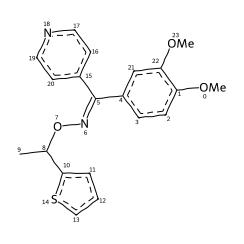 COc1ccc(C(=NOC(C)c2cccs2)c2ccncc2)cc1OC